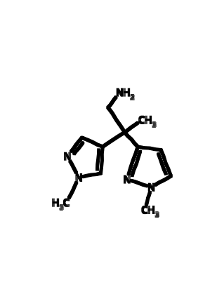 Cn1cc(C(C)(CN)c2ccn(C)n2)cn1